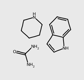 C1CCNCC1.NC(N)=O.c1ccc2[nH]ccc2c1